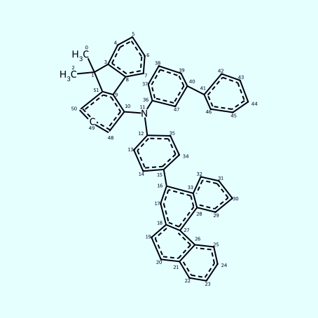 CC1(C)c2ccccc2-c2c(N(c3ccc(-c4cc5ccc6ccccc6c5c5ccccc45)cc3)c3cccc(-c4ccccc4)c3)cccc21